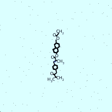 C=CC(=O)OCc1ccc2cc(OC(=O)/C(C)=C/c3ccc(CC(=O)C(=C)C)cc3)ccc2c1